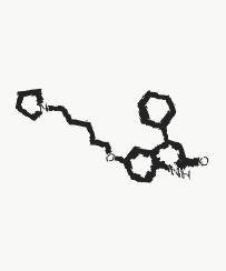 O=c1cc(C2=CCCC=C2)c2cc(OCCCCCN3CCCC3)ccc2[nH]1